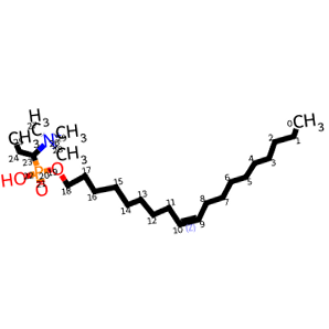 CCCCCCCCC/C=C\CCCCCCCCOP(=O)(O)C(CC)[N+](C)(C)C